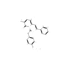 C/C(=C\c1c(Cl)cc(Cl)c(=O)n1CCc1ccc(C(=O)O)cc1)c1ccccc1